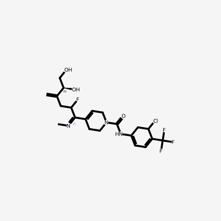 C=C(CC(F)/C(=N\C)C1=CCN(C(=O)NC2=CC=C(C(F)(F)F)C(Cl)C2)CC1)[C@H](O)CO